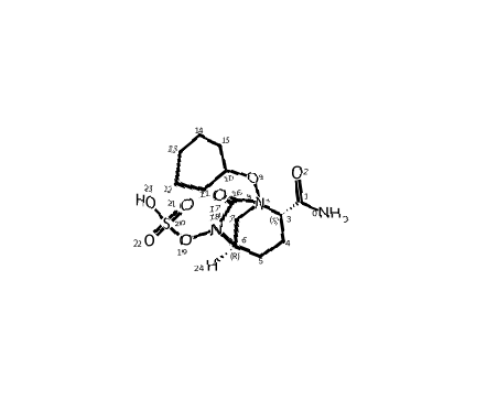 NC(=O)[C@@H]1CC[C@@H]2C[N+]1(OC1CCCCC1)C(=O)N2OS(=O)(=O)O